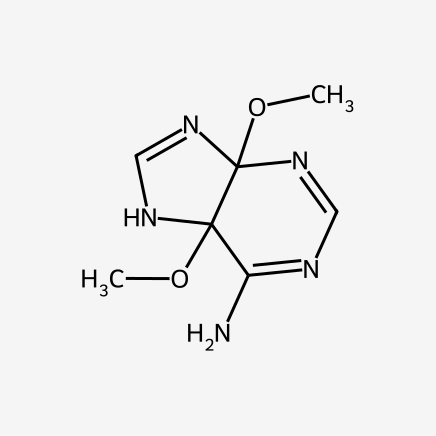 COC12N=CN=C(N)C1(OC)NC=N2